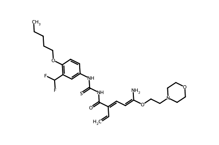 C=C/C(=C\C=C(/N)OCCN1CCOCC1)C(=O)NC(=S)Nc1ccc(OCCCCC)c(C(F)F)c1